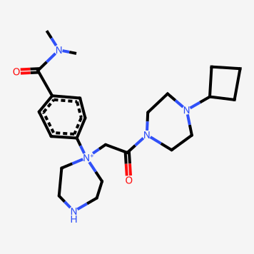 CN(C)C(=O)c1ccc([N+]2(CC(=O)N3CCN(C4CCC4)CC3)CCNCC2)cc1